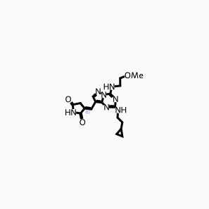 COCCNc1nc(NCCC2CC2)nc2c(/C=C3\CC(=O)NC3=O)cnn12